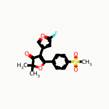 CC1(C)OC(c2ccc(S(C)(=O)=O)cc2)=C(c2coc(F)c2)C1=O